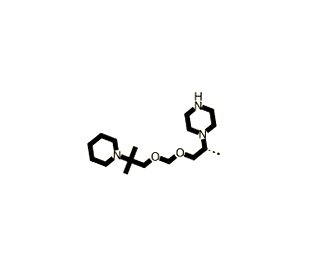 C[C@H](COCOCC(C)(C)N1CCCCC1)N1CCNCC1